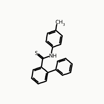 Cc1ccc(NC(=S)c2ccccc2-c2ccccc2)cc1